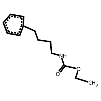 CCOC(=O)NCCCCc1ccccc1